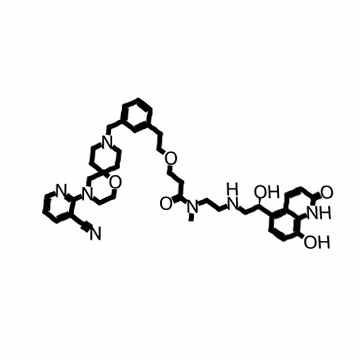 CN(CCNC[C@H](O)c1ccc(O)c2[nH]c(=O)ccc12)C(=O)CCOCCc1cccc(CN2CCC3(CC2)CN(c2ncccc2C#N)CCO3)c1